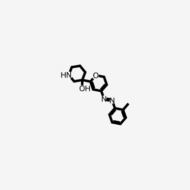 Cc1ccccc1N=NC1=CCOC(C2(O)CCCNC2)=C1